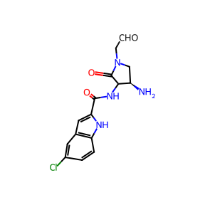 N[C@@H]1CN(CC=O)C(=O)C1NC(=O)c1cc2cc(Cl)ccc2[nH]1